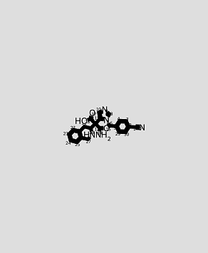 N#Cc1ccc(Cn2cncc2C(C(N)=O)(C(=O)O)C2Cc3ccccc3CN2)cc1